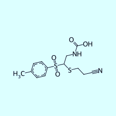 Cc1ccc(S(=O)(=O)C(CNC(=O)O)SCCC#N)cc1